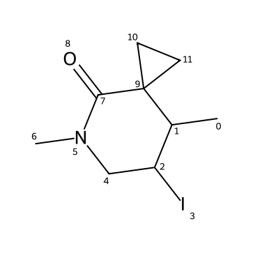 CC1C(I)CN(C)C(=O)C12CC2